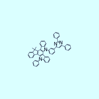 CC1(C)c2ccccc2-c2c1c1c3ccccc3n(-c3cccc(-c4cc(-c5ccccc5)nc(-c5ccccc5)n4)c3)c1c1c3ccccc3n(-c3ccccc3)c21